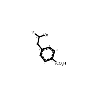 O=C(O)c1ccc(CC(F)Br)cc1